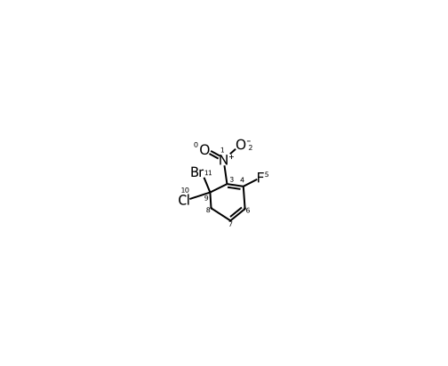 O=[N+]([O-])C1=C(F)C=CCC1(Cl)Br